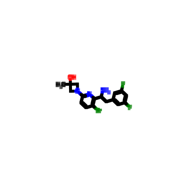 CC1(O)CN(c2ccc(Br)c(C(N)Cc3cc(F)cc(F)c3)n2)C1